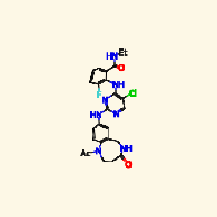 CCNC(=O)c1cccc(F)c1Nc1nc(Nc2ccc3c(c2)CNC(=O)CCN3C(C)=O)ncc1Cl